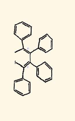 C/C(=C(\C(=C(/I)c1ccccc1)c1ccccc1)c1ccccc1)c1ccccc1